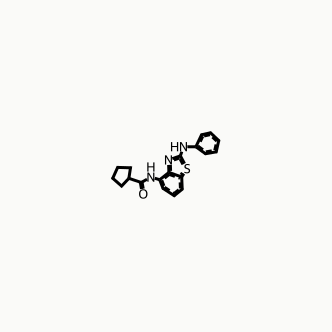 O=C(Nc1cccc2sc(Nc3ccccc3)nc12)C1CCCC1